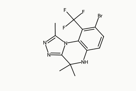 Cc1nnc2n1-c1c(ccc(Br)c1C(F)(F)F)NC2(C)C